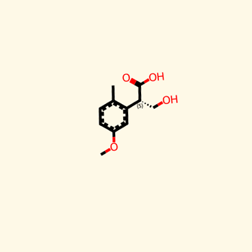 COc1ccc(C)c([C@@H](CO)C(=O)O)c1